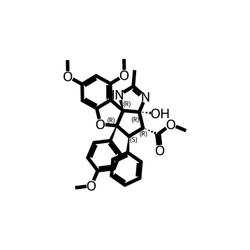 COC(=O)[C@@H]1[C@@H](c2ccccc2)[C@]2(c3ccc(OC)cc3)Oc3cc(OC)cc(OC)c3[C@@]23NC(C)=N[C@@]13O